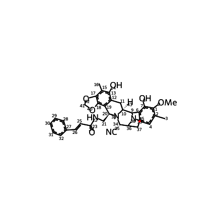 COc1c(C)cc2c(c1O)C1[C@@H]3Cc4c(O)c(C)c5c(c4[C@H](CNC(=O)/C=C/c4ccccc4)N3[C@@H](C#N)C(C2)N1C)OCO5